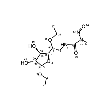 CCO[C@H]1O[C@H]([C@@H](CNC(=O)N(C)N=O)OCC)[C@H](O)[C@H]1O